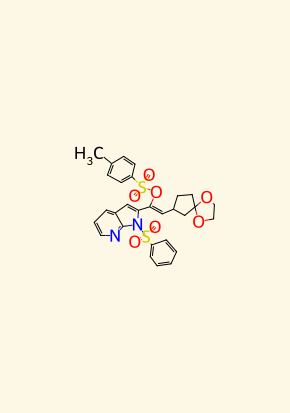 Cc1ccc(S(=O)(=O)O/C(=C\C2CCC3(C2)OCCO3)c2cc3cccnc3n2S(=O)(=O)c2ccccc2)cc1